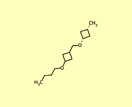 CCCCOC1CC(CO[C@H]2C[C@@H](C)C2)C1